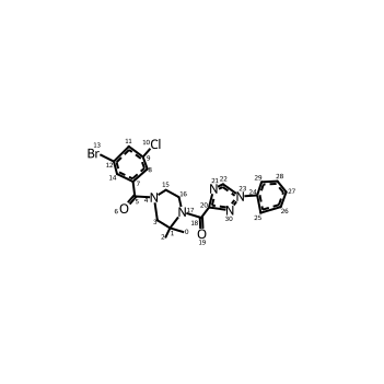 CC1(C)CN(C(=O)c2cc(Cl)cc(Br)c2)CCN1C(=O)c1ncn(-c2ccccc2)n1